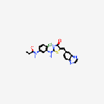 CCC(=O)Nc1ccc(Cl)c(NC2=NC(=O)/C(=C/c3ccc4nccnc4c3)S2)c1